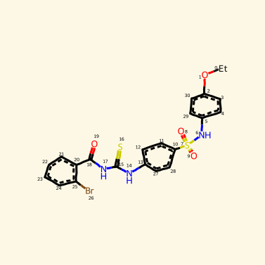 CCOc1ccc(NS(=O)(=O)c2ccc(NC(=S)NC(=O)c3ccccc3Br)cc2)cc1